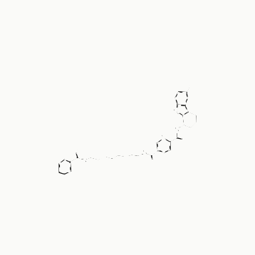 O=C(NCCOCCOCCNC(=O)c1ccc(C(=O)NC2CCCc3c2[nH]c2ccc(Cl)cc32)nc1)c1ccccc1